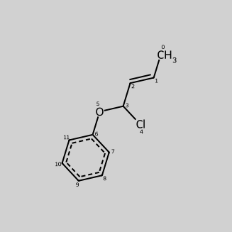 CC=CC(Cl)Oc1ccccc1